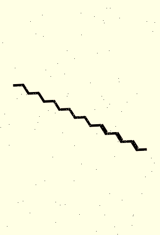 CC=CC=CC=CCCCCCCCCCCC